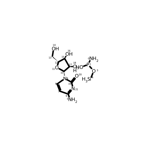 NP(O)O[SiH3].Nc1ccn([C@@H]2O[C@H](CO)[C@@H](O)[C@H]2O)c(=O)n1